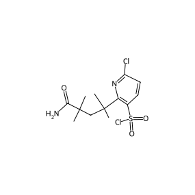 CC(C)(CC(C)(C)c1nc(Cl)ccc1S(=O)(=O)Cl)C(N)=O